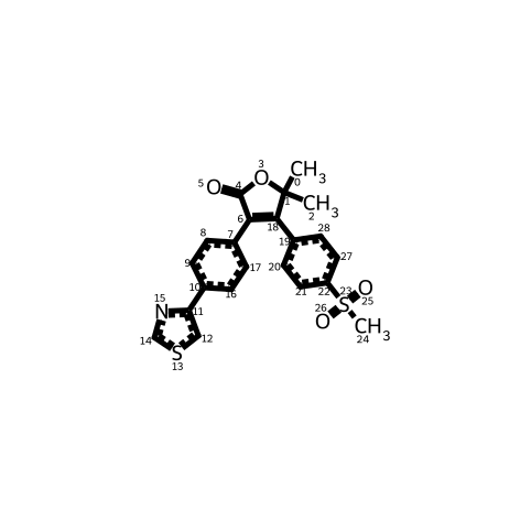 CC1(C)OC(=O)C(c2ccc(-c3cscn3)cc2)=C1c1ccc(S(C)(=O)=O)cc1